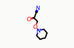 N#CC(=O)CON1CCCCC1